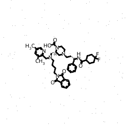 Cc1cnc(CN(CCCCN2C(=O)c3ccccc3C2=O)C[C@H]2CN(CC[C@H](NC(=O)C3CCC(F)(F)CC3)c3ccccc3)CCN2C(=O)O)c(C)c1